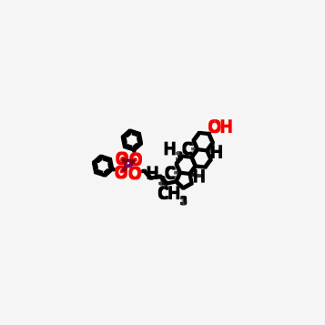 C[C@H](CCCOP(=O)(Oc1ccccc1)Oc1ccccc1)C1CC[C@H]2C3CC[C@@H]4C[C@H](O)CC[C@]4(C)C3CC[C@]12C